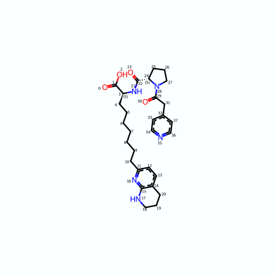 O=C(O)[C@H](CCCCCCCc1ccc2c(n1)NCCC2)NC(=O)[C@@H]1CCCN1C(=O)Cc1ccncc1